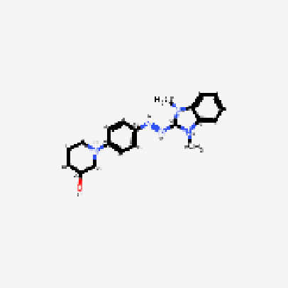 CN1c2ccccc2N(C)C1N=Nc1ccc(N2CCCC(O)C2)cc1